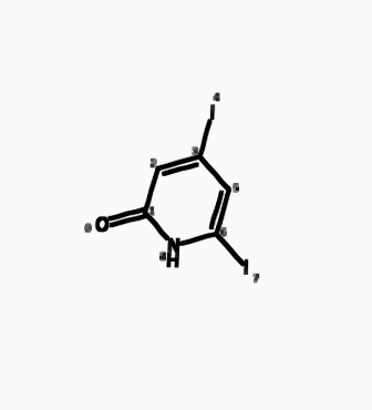 O=c1cc(I)cc(I)[nH]1